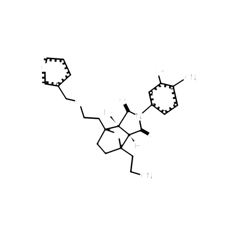 N#CCCC12CCC(CCOCc3ccccc3)(O1)[C@@H]1C(=O)N(c3ccc(C#N)c(C(F)(F)F)c3)C(=O)[C@@H]12